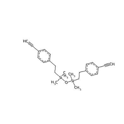 C#Cc1ccc(CC[Si](C)(C)O[Si](C)(C)CCc2ccc(C#C)cc2)cc1